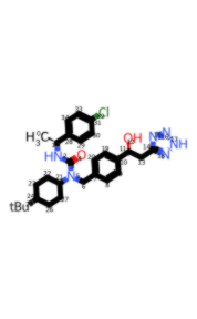 C[C@@H](NC(=O)N(Cc1ccc([C@@H](O)Cc2nn[nH]n2)cc1)C1CCC(C(C)(C)C)CC1)c1ccc(Cl)cc1